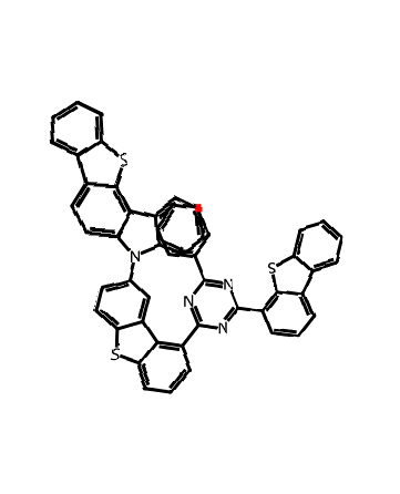 c1ccc(-c2nc(-c3cccc4c3sc3ccccc34)nc(-c3cccc4sc5ccc(-n6c7ccccc7c7c8sc9ccccc9c8ccc76)cc5c34)n2)cc1